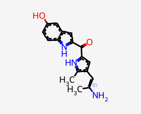 C/C(N)=C\c1cc(C(=O)c2cc3cc(O)ccc3[nH]2)[nH]c1C